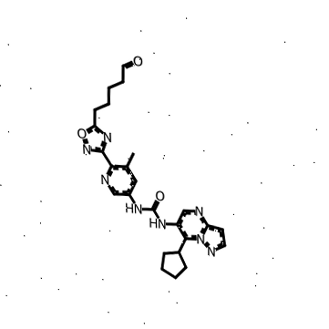 Cc1cc(NC(=O)Nc2cnc3ccnn3c2C2CCCC2)cnc1-c1noc(CCCCC=O)n1